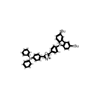 CC(C)(C)c1ccc2c(c1)c1cc(C(C)(C)C)ccc1n2-c1ccc(-c2nnc(-c3ccc(N(c4ccccc4)c4ccccc4)cc3)o2)cc1